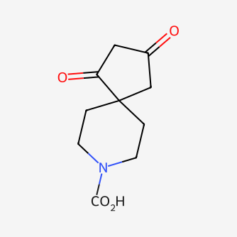 O=C1CC(=O)C2(CCN(C(=O)O)CC2)C1